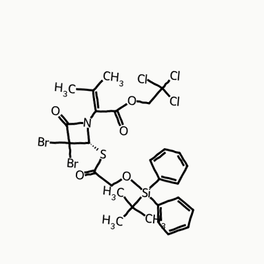 CC(C)=C(C(=O)OCC(Cl)(Cl)Cl)N1C(=O)C(Br)(Br)[C@H]1SC(=O)CO[Si](c1ccccc1)(c1ccccc1)C(C)(C)C